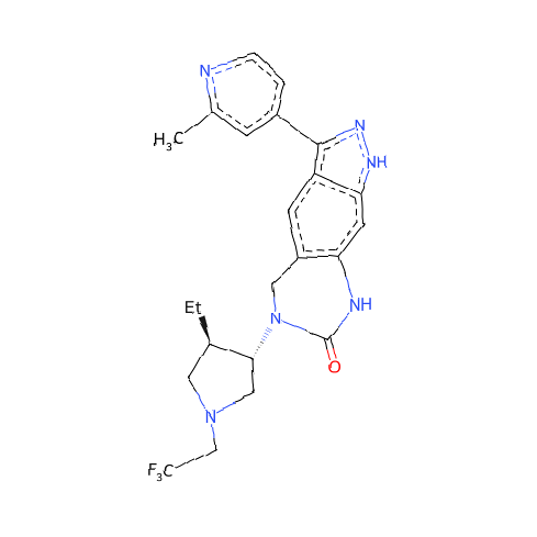 CC[C@@H]1CN(CC(F)(F)F)C[C@H]1N1Cc2cc3c(-c4ccnc(C)c4)n[nH]c3cc2NC1=O